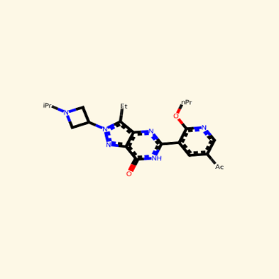 CCCOc1ncc(C(C)=O)cc1-c1nc2c(CC)n(C3CN(C(C)C)C3)nc2c(=O)[nH]1